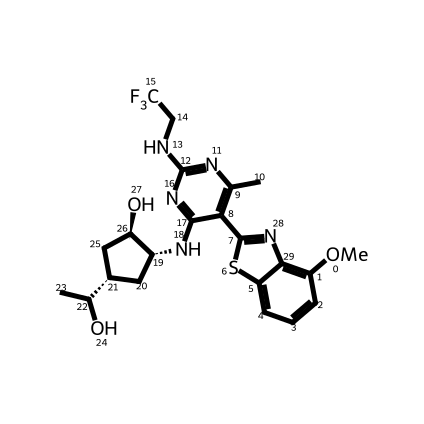 COc1cccc2sc(-c3c(C)nc(NCC(F)(F)F)nc3N[C@@H]3C[C@H](C(C)O)C[C@H]3O)nc12